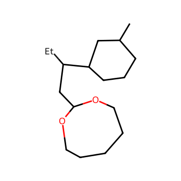 CCC(CC1OCCCCCO1)C1CCCC(C)C1